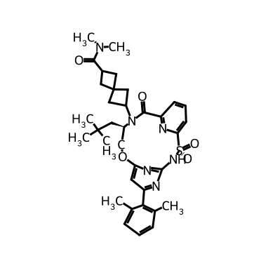 Cc1cccc(C)c1-c1cc2nc(n1)NS(=O)(=O)c1cccc(n1)C(=O)N(C1CC3(CC(C(=O)N(C)C)C3)C1)[C@H](CC(C)(C)C)CO2